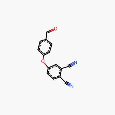 N#Cc1ccc(Oc2ccc(C=O)cc2)cc1C#N